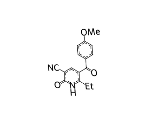 CCc1[nH]c(=O)c(C#N)cc1C(=O)c1ccc(OC)cc1